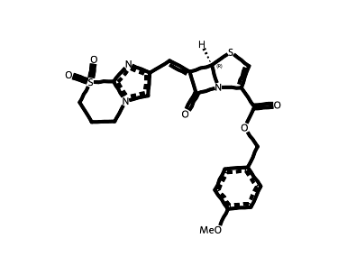 COc1ccc(COC(=O)C2=CS[C@@H]3C(=Cc4cn5c(n4)S(=O)(=O)CCC5)C(=O)N23)cc1